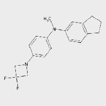 CN(c1ccc(N2CC(F)(F)C2)cc1)c1ccc2c(c1)CCC2